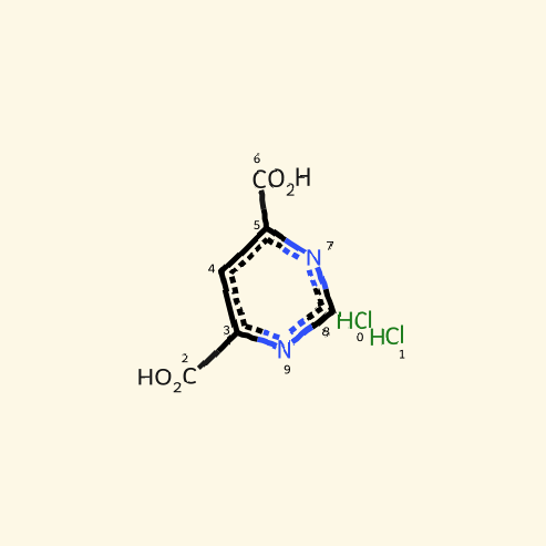 Cl.Cl.O=C(O)c1cc(C(=O)O)ncn1